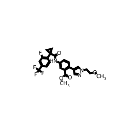 COCCn1cc(-c2ccc(NC(=O)C3(c4ccc(C(F)(F)F)cc4F)CC3)cc2C(=O)OC)cn1